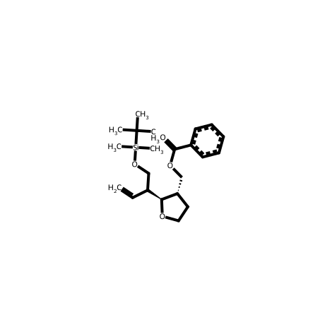 C=CC(CO[Si](C)(C)C(C)(C)C)[C@@H]1OCC[C@H]1COC(=O)c1ccccc1